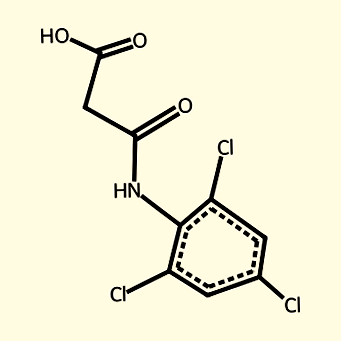 O=C(O)CC(=O)Nc1c(Cl)cc(Cl)cc1Cl